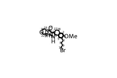 COc1cc2c(cc1CCCCBr)-c1[nH]nc(C(=O)N3CCOCC3(C)C)c1CC2